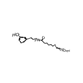 CCCCCCCCCCCCCCCCCC(=O)NCCCc1cccc(O)c1